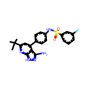 CC(C)(C)c1cc(-c2ccc(NS(=O)(=O)c3cccc(F)c3)cc2)c2c(N)n[nH]c2n1